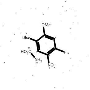 COc1cc(F)c([N+](=O)[O-])cc1C(C)(C)C.NC(=O)O